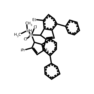 CCc1ccc(-c2ccccc2)c2c1[CH]([Zr]([Cl])([Cl])([CH]1C(C(C)C)=Cc3c(-c4ccccc4)cccc31)[SiH](C)C)C(C)=C2